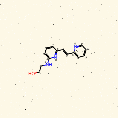 OCCNc1cccc(/C=C/c2ccccn2)n1